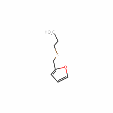 O=C(O)CCSCc1ccco1